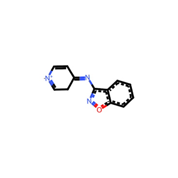 C1=CC(=Nc2noc3ccccc23)CC=[N+]1